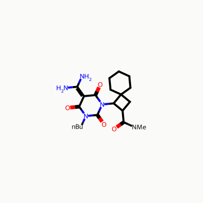 CCCCN1C(=O)C(=C(N)N)C(=O)N(C2C(C(=O)NC)CC23CCCCC3)C1=O